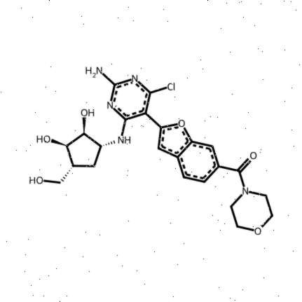 Nc1nc(Cl)c(-c2cc3ccc(C(=O)N4CCOCC4)cc3o2)c(N[C@@H]2C[C@H](CO)[C@@H](O)[C@H]2O)n1